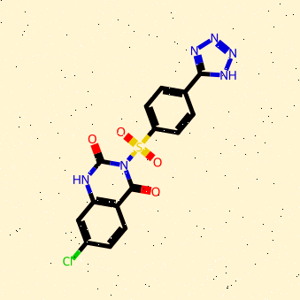 O=c1[nH]c2cc(Cl)ccc2c(=O)n1S(=O)(=O)c1ccc(-c2nnn[nH]2)cc1